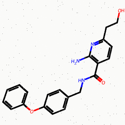 Nc1nc(CCO)ccc1C(=O)NCc1ccc(Oc2ccccc2)cc1